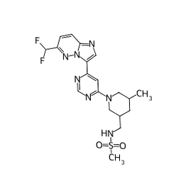 CC1CC(CNS(C)(=O)=O)CN(c2cc(-c3cnc4ccc(C(F)F)nn34)ncn2)C1